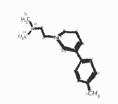 Cc1ccc(C2=CCCN(CCN(C)C)C2)cc1